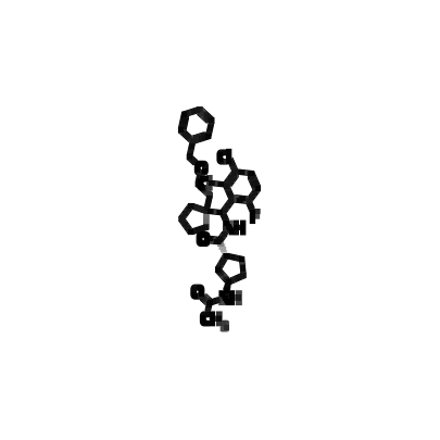 CC(=O)N[C@@H]1CC[C@@H](C(=O)NC(c2c(F)ccc(Cl)c2Cl)C2(CCOCc3ccccc3)CCCC2)C1